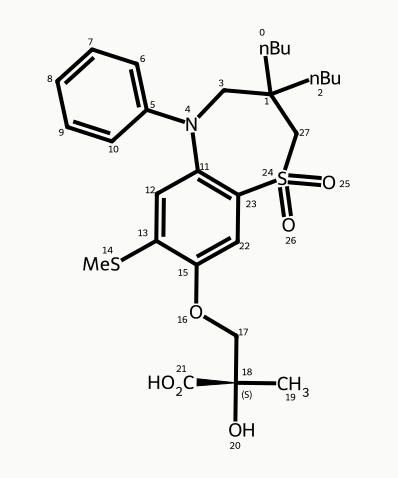 CCCCC1(CCCC)CN(c2ccccc2)c2cc(SC)c(OC[C@](C)(O)C(=O)O)cc2S(=O)(=O)C1